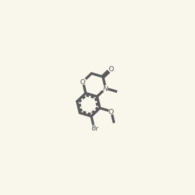 COc1c(Br)ccc2c1N(C)C(=O)CO2